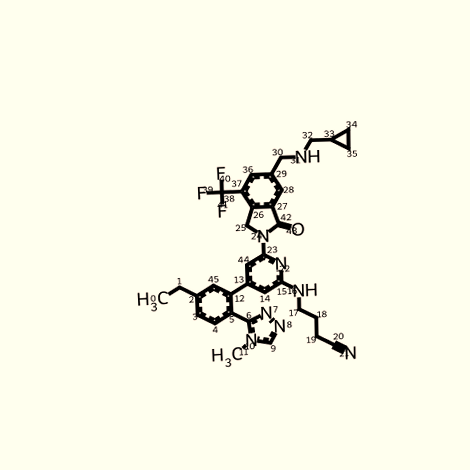 CCc1ccc(-c2nncn2C)c(-c2cc(NCCCC#N)nc(N3Cc4c(cc(CNCC5CC5)cc4C(F)(F)F)C3=O)c2)c1